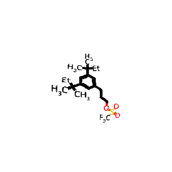 CCC(C)(C)c1cc(CCCOS(=O)(=O)C(F)(F)F)cc(C(C)(C)CC)c1